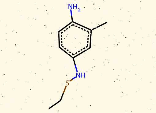 CCSNc1ccc(N)c(C)c1